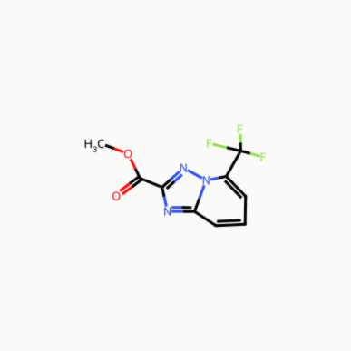 COC(=O)c1nc2cccc(C(F)(F)F)n2n1